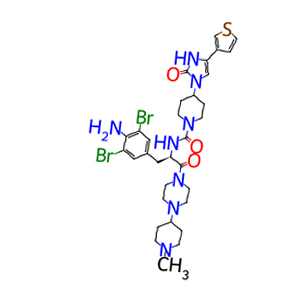 CN1CCC(N2CCN(C(=O)[C@@H](Cc3cc(Br)c(N)c(Br)c3)NC(=O)N3CCC(n4cc(-c5ccsc5)[nH]c4=O)CC3)CC2)CC1